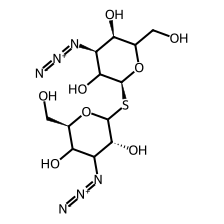 [N-]=[N+]=NC1C(O)[C@@H](CO)OC(S[C@@H]2OC(CO)[C@H](O)[C@H](N=[N+]=[N-])C2O)[C@@H]1O